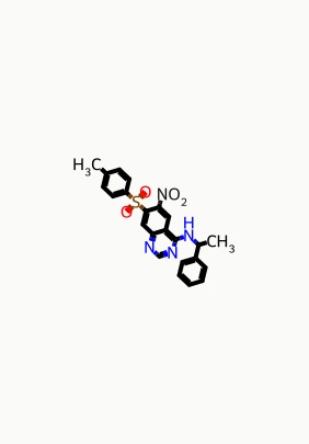 Cc1ccc(S(=O)(=O)c2cc3ncnc(NC(C)c4ccccc4)c3cc2[N+](=O)[O-])cc1